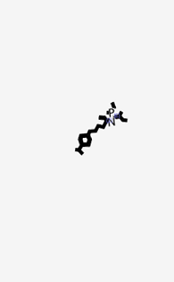 C=C/C(CCCCc1ccc(C(C)C)cc1)=N\C(=C(\C)CC)P(C)CC